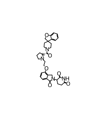 O=C1CCC(N2Cc3c(OCCN4CCC[C@@H]4C(=O)N4CCC5(CC4)COc4ccccc45)cccc3C2=O)C(=O)N1